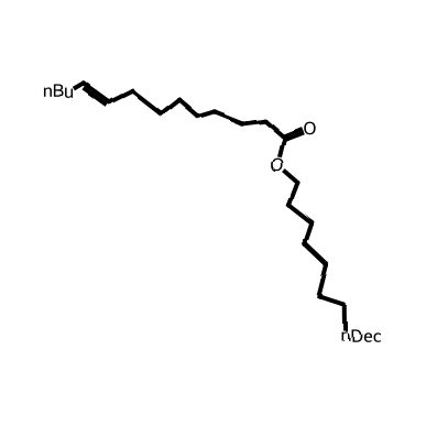 CCCCC=CCCCCCCCC(=O)OCCCCCCCCCCCCCCCCC